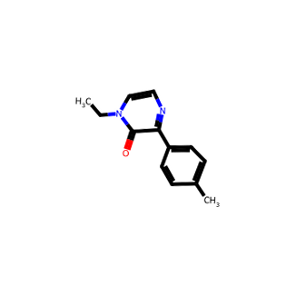 CCn1ccnc(-c2ccc(C)cc2)c1=O